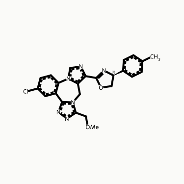 COCc1nnc2n1Cc1c(C3=N[C@@H](c4ccc(C)cc4)CO3)ncn1-c1ccc(Cl)cc1-2